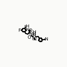 N#Cc1cccc(Cc2nnc(C(=O)N[C@@H]3CCc4cc(F)cc(F)c4NC3=O)[nH]2)c1